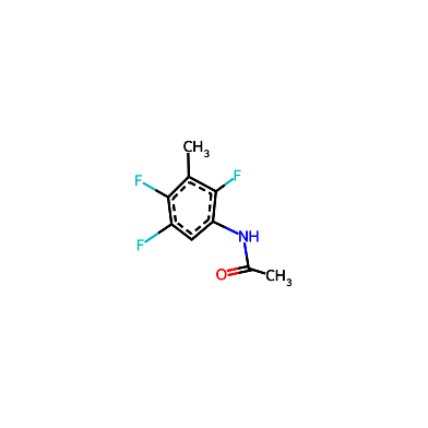 CC(=O)Nc1cc(F)c(F)c(C)c1F